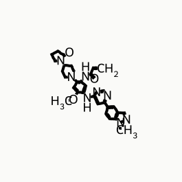 C=CC(=O)Nc1cc(Nc2cc(-c3ccc4c(cnn4C)c3)ncn2)c(OC)cc1N1CCC(N2CCCC2=O)CC1